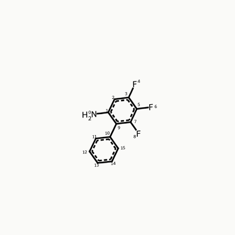 Nc1cc(F)c(F)c(F)c1-c1ccccc1